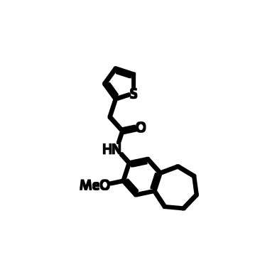 COc1cc2c(cc1NC(=O)Cc1cccs1)CCCCC2